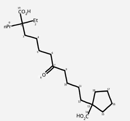 CCCC(CC)(CCCCC(=O)CCCCC1(C(=O)O)CCCC1)C(=O)O